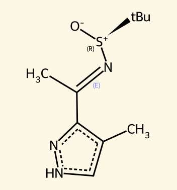 C/C(=N\[S@@+]([O-])C(C)(C)C)c1n[nH]cc1C